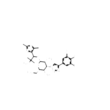 Cc1nc(C(S[C@@H]2O[C@H](CO)[C@H](O)[C@H](n3cc(-c4cc(F)c(F)c(F)c4)nn3)[C@H]2O)C(C)(C)O)c(C)s1